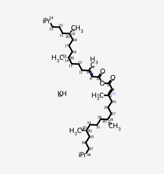 C/C(=C\C(=O)OC(=O)/C=C(\C)CCC[C@H](C)CCC[C@H](C)CCCC(C)C)CCC[C@H](C)CCC[C@H](C)CCCC(C)C.[KH]